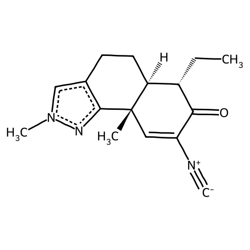 [C-]#[N+]C1=C[C@]2(C)c3nn(C)cc3CC[C@H]2[C@H](CC)C1=O